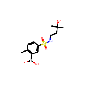 Cc1ccc(S(=O)(=O)NCCC(C)(C)O)cc1B(O)O